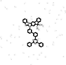 CC1(C)c2ccccc2-c2cc3c(cc21)n(-c1cccc(-c2cccc(-c4nc(-c5ccccc5)nc(-c5ccccc5)n4)c2)c1)c1nc2ccccc2n31